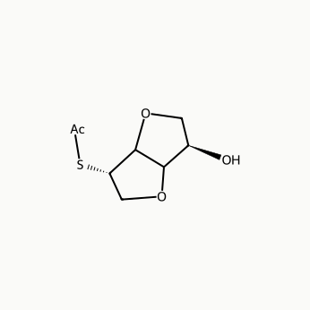 CC(=O)S[C@H]1COC2C1OC[C@H]2O